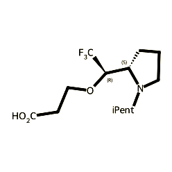 CCCC(C)N1CCC[C@H]1[C@@H](OCCC(=O)O)C(F)(F)F